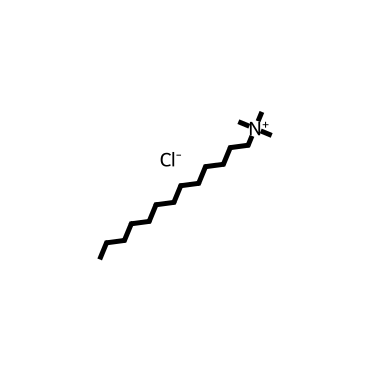 CCCCCCCCCCCCC[N+](C)(C)C.[Cl-]